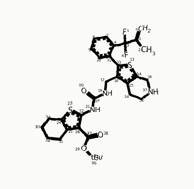 C=C(C)C(F)(F)c1ccccc1-c1sc2c(c1CNC(=O)Nc1sc3c(c1C(=O)OC(C)(C)C)CCCC3)CCNC2